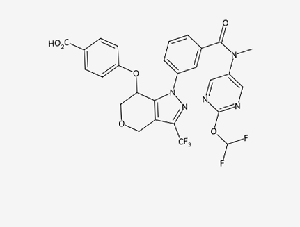 CN(C(=O)c1cccc(-n2nc(C(F)(F)F)c3c2C(Oc2ccc(C(=O)O)cc2)COC3)c1)c1cnc(OC(F)F)nc1